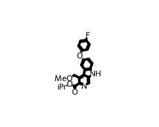 COCc1c(C(=O)OC(C)C)ncc2[nH]c3ccc(Oc4ccc(F)cc4)cc3c12